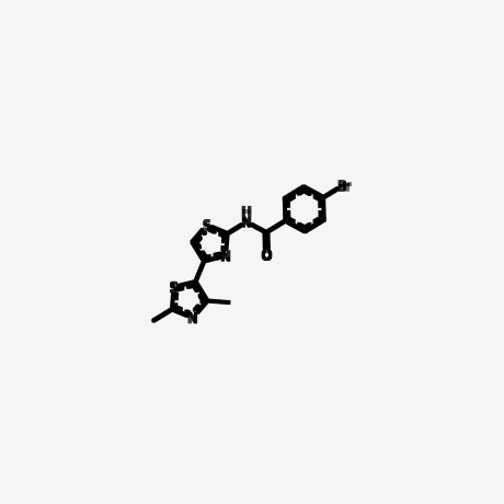 Cc1nc(C)c(-c2csc(NC(=O)c3ccc(Br)cc3)n2)s1